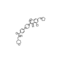 O=C(NCC1CCOCC1)c1ccc(N2CCN(C(=O)Nc3c(Cl)cc(CN4CCCC4)cc3Cl)CC2)cc1